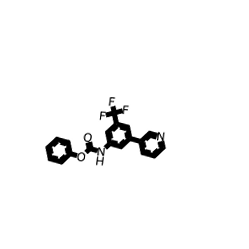 O=C(Nc1cc(-c2cccnc2)cc(C(F)(F)F)c1)Oc1ccccc1